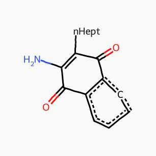 CCCCCCCC1=C(N)C(=O)c2ccccc2C1=O